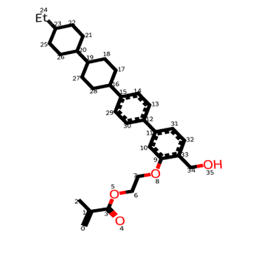 C=C(C)C(=O)OCCOc1cc(-c2ccc(C3CCC(C4CCC(CC)CC4)CC3)cc2)ccc1CO